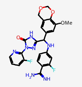 COc1cc(C(Nc2ccc(C(=N)N)c(F)c2)c2nn(-c3ncccc3F)c(=O)[nH]2)cc2c1OCOC2